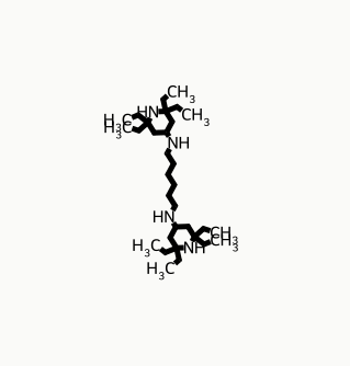 CCC1(CC)CC(NCCCCCCNC2CC(CC)(CC)NC(CC)(CC)C2)CC(CC)(CC)N1